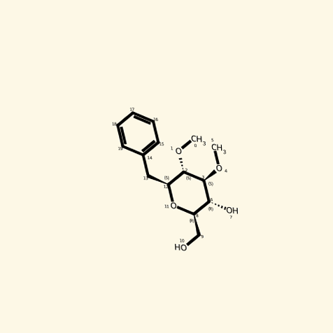 CO[C@@H]1[C@@H](OC)[C@H](O)[C@@H](CO)O[C@H]1Cc1ccccc1